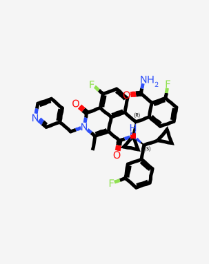 Cc1c(C(=O)N[C@H](c2cccc(F)c2)C2CC2)c2c([C@@H](c3cccc(F)c3C(N)=O)C3CC3)ccc(F)c2c(=O)n1Cc1cccnc1